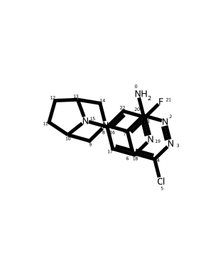 Nc1nnc(Cl)cc1N1CC2CCC(C1)N2c1ccnc(F)c1